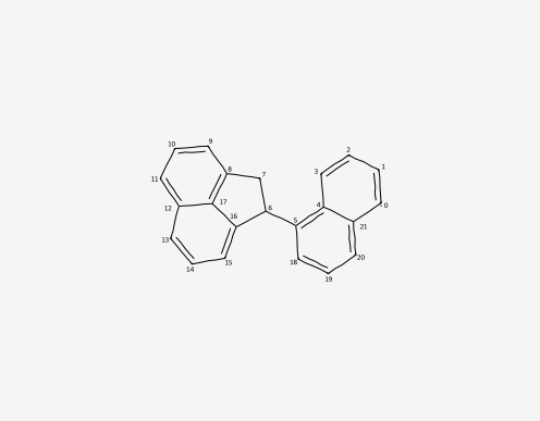 [c]1cccc2c(C3Cc4cccc5cccc3c45)cccc12